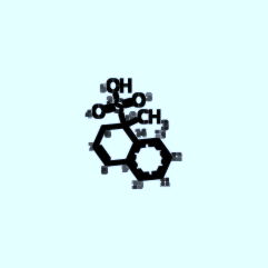 CC1(S(=O)(=O)O)CC=Cc2ccccc21